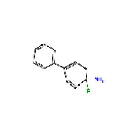 NC1(F)C=CC(c2ccccc2)=CC1